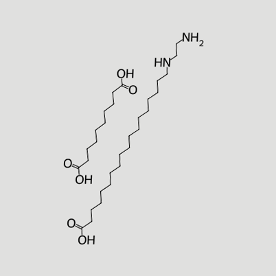 NCCNCCCCCCCCCCCCCCCCCC(=O)O.O=C(O)CCCCCCCCC(=O)O